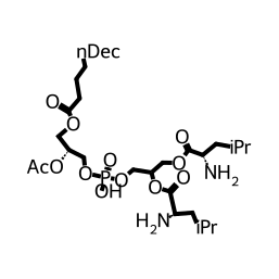 CCCCCCCCCCCCCC(=O)OC[C@H](COP(=O)(O)OCC(COC(=O)[C@@H](N)CC(C)C)OC(=O)[C@@H](N)CC(C)C)OC(C)=O